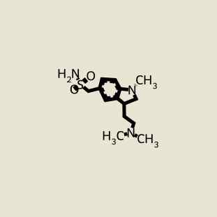 CN(C)CCC1CN(C)c2ccc(CS(N)(=O)=O)cc21